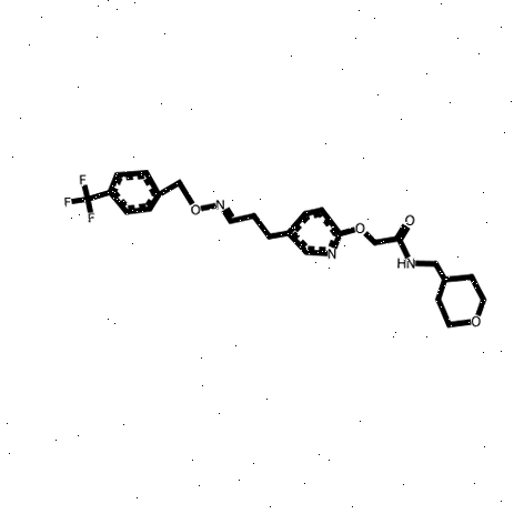 O=C(COc1ccc(CCC=NOCc2ccc(C(F)(F)F)cc2)cn1)NCC1CCOCC1